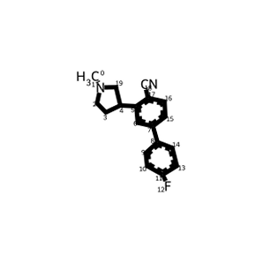 CN1CCC(c2cc(-c3ccc(F)cc3)ccc2C#N)C1